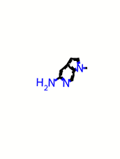 Cn1ccc2cc(N)ncc21